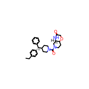 CCc1ccc([C@H](c2ccccc2)C2CCN(C(=O)N3CCC4OCC(=O)N[C@@H]4C3)CC2)cc1